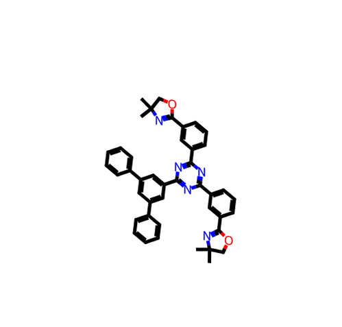 CC1(C)COC(c2cccc(-c3nc(-c4cccc(C5=NC(C)(C)CO5)c4)nc(-c4cc(-c5ccccc5)cc(-c5ccccc5)c4)n3)c2)=N1